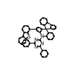 c1ccc(-c2nc(-c3ccccc3)nc(N3c4ccccc4C4(c5ccccc5-c5ccccc54)c4ccc(-c5cccc6c5sc5ccccc56)cc43)n2)cc1